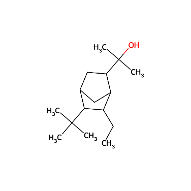 CCC1C2CC(CC2C(C)(C)O)C1C(C)(C)C